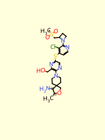 C[C@@H]1OCC2(CCN(c3ncc(Sc4ccnc(N5CCC5CS(C)(=O)=O)c4Cl)nc3CO)CC2)[C@@H]1N